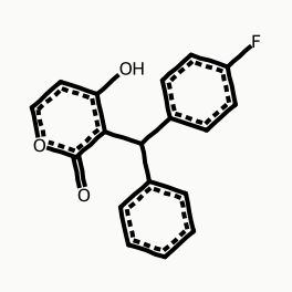 O=c1occc(O)c1C(c1ccccc1)c1ccc(F)cc1